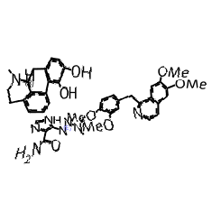 CN(C)/N=N/c1[nH]cnc1C(N)=O.CN1CCc2cccc3c2[C@H]1Cc1ccc(O)c(O)c1-3.COc1ccc(Cc2nccc3cc(OC)c(OC)cc23)cc1OC